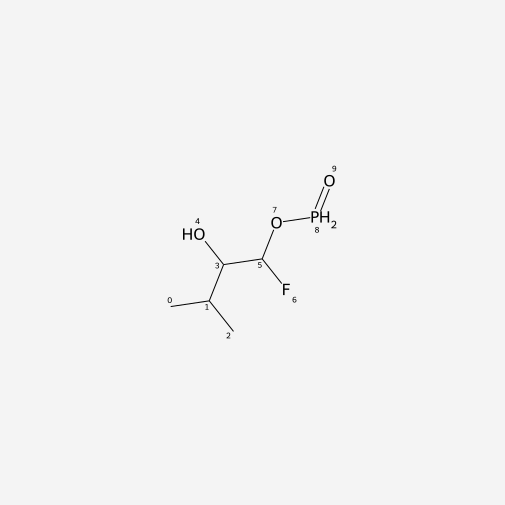 CC(C)C(O)C(F)O[PH2]=O